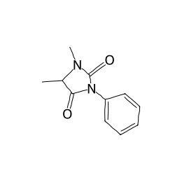 CC1C(=O)N(c2ccccc2)C(=O)N1C